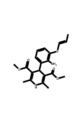 CC=COc1cccc(C2C(C(=O)OC)=C(C)NC(C)=C2C(=O)OC)c1N